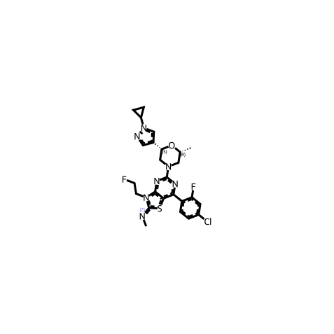 C/N=c1\sc2c(-c3ccc(Cl)cc3F)nc(N3C[C@@H](C)O[C@@H](c4cnn(C5CC5)c4)C3)nc2n1CCF